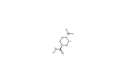 COC(=O)[C@H]1CC[C@H](N(C)C)CC1